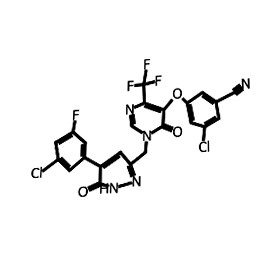 N#Cc1cc(Cl)cc(Oc2c(C(F)(F)F)ncn(Cc3cc(-c4cc(F)cc(Cl)c4)c(=O)[nH]n3)c2=O)c1